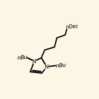 CCCCCCCCCCCCCCC1N(CCCC)C=CN1CCCC